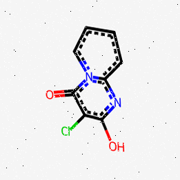 O=c1c(Cl)c(O)nc2ccccn12